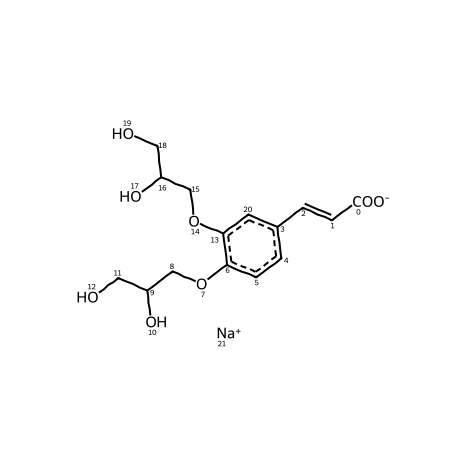 O=C([O-])C=Cc1ccc(OCC(O)CO)c(OCC(O)CO)c1.[Na+]